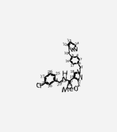 COCc1nn(Cc2ccc(Cn3cccn3)cc2)cc1C(=O)NCc1cccc(Cl)c1